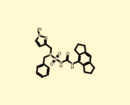 CC(C)n1ccc(CN(Cc2ccccc2)S(=O)(=O)NC(=O)Nc2c3c(cc4c2CCC4)CCC3)n1